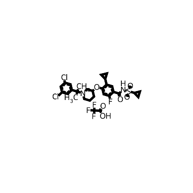 CC(C)(c1cc(Cl)cc(Cl)c1)N1CCCC(Oc2cc(F)c(C(=O)NS(=O)(=O)C3CC3)cc2C2CC2)C1.O=C(O)C(F)(F)F